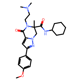 COc1ccc(-c2cc3n(n2)CC(C)(C(=O)NC2CCCCC2)N(CCN(C)C)C3=O)cc1